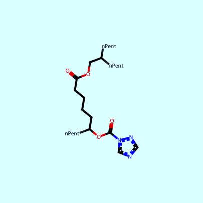 CCCCCC(CCCCC)COC(=O)CCCCC(CCCCC)OC(=O)n1cncn1